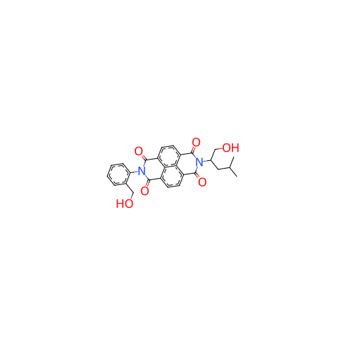 CC(C)CC(CO)N1C(=O)c2ccc3c4c(ccc(c24)C1=O)C(=O)N(c1ccccc1CO)C3=O